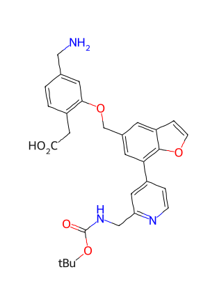 CC(C)(C)OC(=O)NCc1cc(-c2cc(COc3cc(CN)ccc3CC(=O)O)cc3ccoc23)ccn1